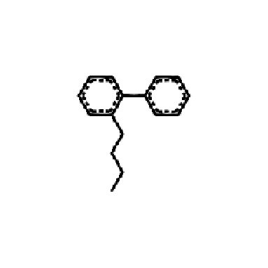 CCCCc1[c]cccc1-c1ccccc1